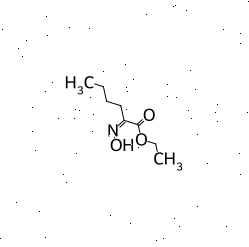 CCCCC(=NO)C(=O)OCC